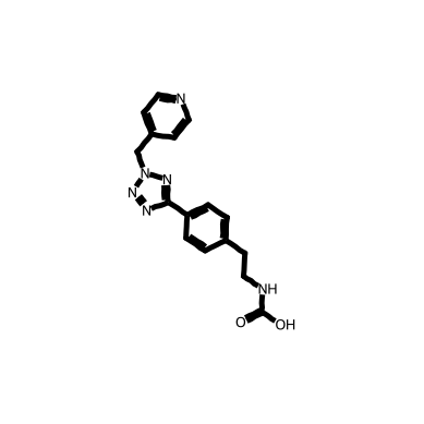 O=C(O)NCCc1ccc(-c2nnn(Cc3ccncc3)n2)cc1